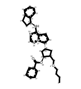 CCCCOCC1C[C@@H](c2ccc3c(N[C@H]4CCc5ccccc54)ncnn23)C[C@@H]1OC(=O)c1ccccc1